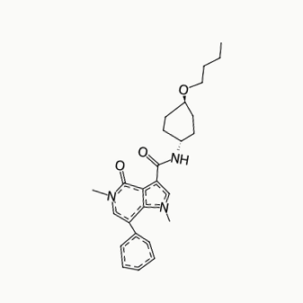 CCCCO[C@H]1CC[C@H](NC(=O)c2cn(C)c3c(-c4ccccc4)cn(C)c(=O)c23)CC1